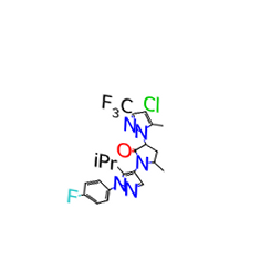 Cc1c(Cl)c(C(F)(F)F)nn1C1CC(C)N(c2cnn(-c3ccc(F)cc3)c2C(C)C)C1=O